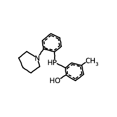 Cc1ccc(O)c(Pc2ccccc2N2CCCCC2)c1